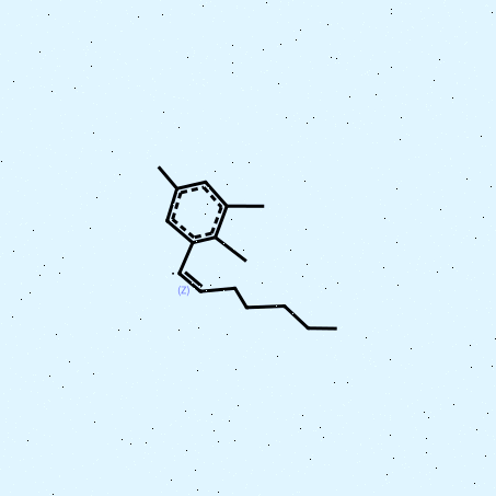 CCCCC/C=[C]\c1cc(C)cc(C)c1C